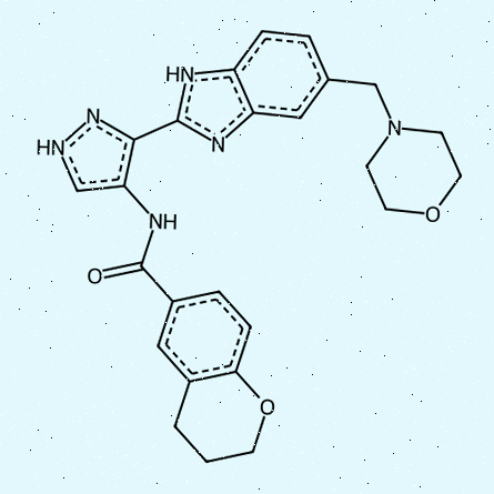 O=C(Nc1c[nH]nc1-c1nc2cc(CN3CCOCC3)ccc2[nH]1)c1ccc2c(c1)CCCO2